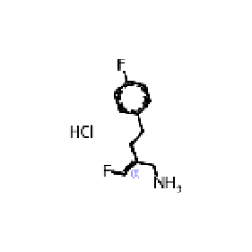 Cl.NC/C(=C/F)CCc1ccc(F)cc1